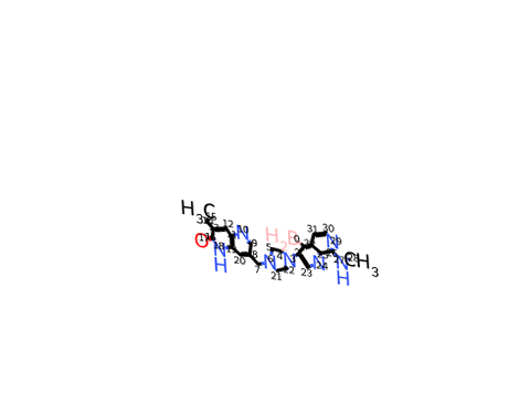 Bc1c(N2CCN(Cc3cnc4cc(CC)c(=O)[nH]c4c3)CC2)cnc2c(NC)nccc12